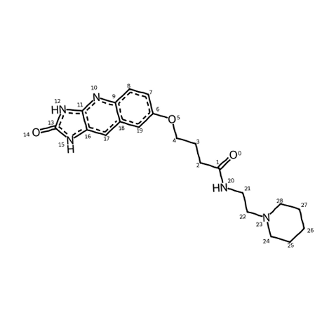 O=C(CCCOc1ccc2nc3[nH]c(=O)[nH]c3cc2c1)NCCN1CCCCC1